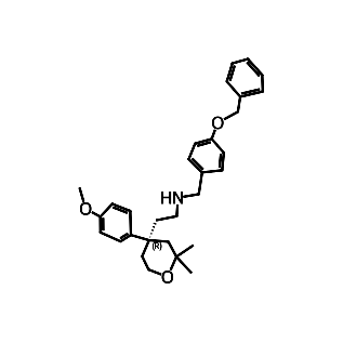 COc1ccc([C@]2(CCNCc3ccc(OCc4ccccc4)cc3)CCOC(C)(C)C2)cc1